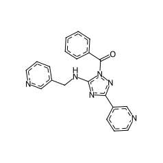 O=C(c1ccccc1)n1nc(-c2cccnc2)nc1NCc1cccnc1